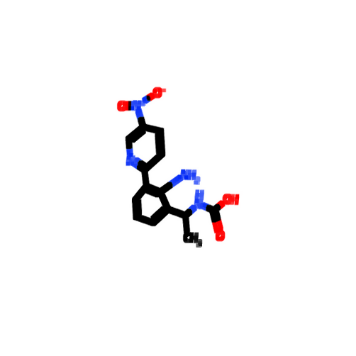 CC(NC(=O)O)c1cccc(-c2ccc([N+](=O)[O-])cn2)c1N